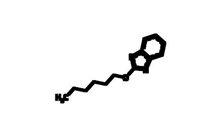 CCCCCCOc1nc2ccccc2s1